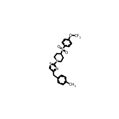 Cc1ccc(Cc2csc(N3CCC(S(=O)(=O)c4ccc(OC(F)(F)F)cc4)CC3)n2)cc1